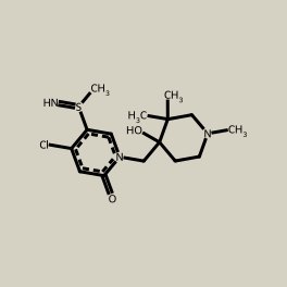 CN1CCC(O)(Cn2cc(S(C)=N)c(Cl)cc2=O)C(C)(C)C1